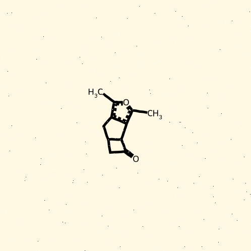 Cc1oc(C)c2c1CC1CC(=O)C21